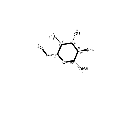 CO[C@@H]1O[C@H](CO)[C@H](C)[C@H](O)[C@H]1N